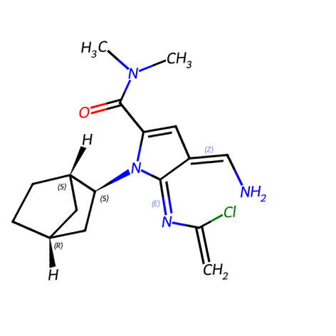 C=C(Cl)/N=C1\C(=C/N)C=C(C(=O)N(C)C)N1[C@H]1C[C@@H]2CC[C@H]1C2